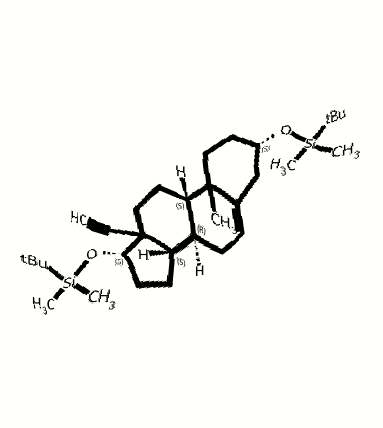 C#CC12CC[C@H]3[C@@H](CC=C4C[C@@H](O[Si](C)(C)C(C)(C)C)CCC43C)[C@@H]1CC[C@@H]2O[Si](C)(C)C(C)(C)C